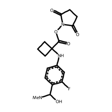 CNC(O)c1ccc(NC2(C(=O)ON3C(=O)CCC3=O)CCC2)cc1F